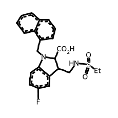 CCS(=O)(=O)NCC1c2cc(F)ccc2N(Cc2cccc3ccccc23)C1C(=O)O